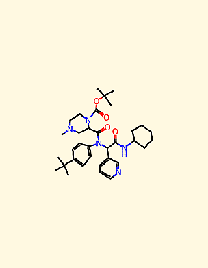 CN1CCN(C(=O)OC(C)(C)C)C(C(=O)N(c2ccc(C(C)(C)C)cc2)C(C(=O)NC2CCCCC2)c2cccnc2)C1